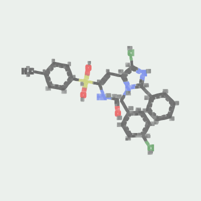 Cc1ccc(S(=O)(=O)C(=Cc2c(Cl)nc(-c3ccccc3)n2Cc2ccc(Cl)cc2)NC=O)cc1